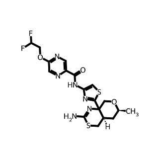 C[C@H]1C[C@H]2CSC(N)=NC2(c2nc(NC(=O)c3cnc(OCC(F)F)cn3)cs2)CO1